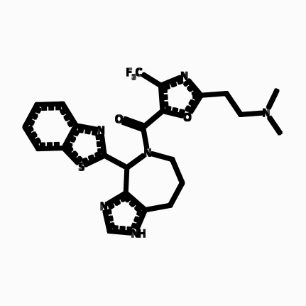 CN(C)CCc1nc(C(F)(F)F)c(C(=O)N2CCCc3[nH]cnc3C2c2nc3ccccc3s2)o1